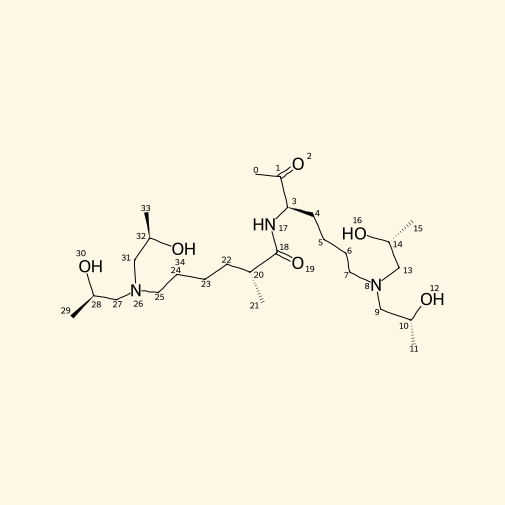 CC(=O)[C@@H](CCCCN(C[C@@H](C)O)C[C@@H](C)O)NC(=O)[C@H](C)CCCCN(C[C@@H](C)O)C[C@@H](C)O